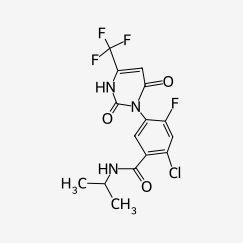 CC(C)NC(=O)c1cc(-n2c(=O)cc(C(F)(F)F)[nH]c2=O)c(F)cc1Cl